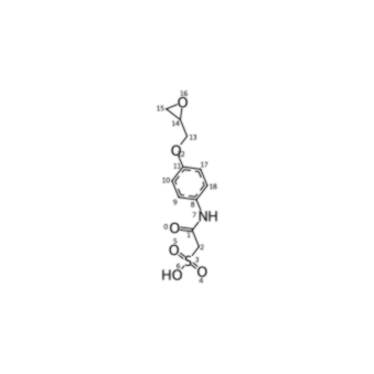 O=C(CS(=O)(=O)O)Nc1ccc(OCC2CO2)cc1